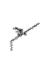 CCCCCCCC/C=C\CCCCCCCC(=O)OC(COC(=O)CCCCCCCCCCCCCCC)COP(=O)(O)OCCNC